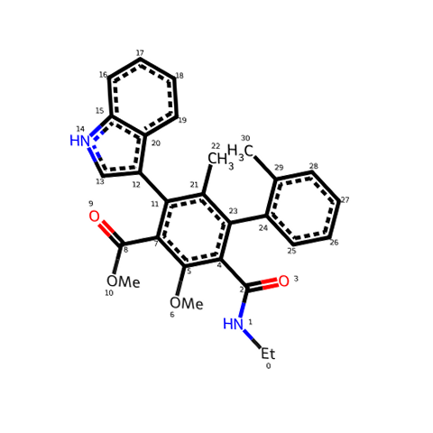 CCNC(=O)c1c(OC)c(C(=O)OC)c(-c2c[nH]c3ccccc23)c(C)c1-c1ccccc1C